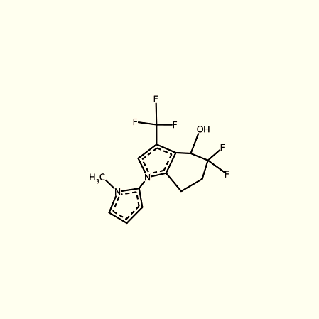 Cn1cccc1-n1cc(C(F)(F)F)c2c1CCC(F)(F)C2O